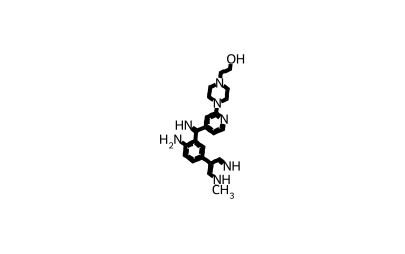 CN/C=C(\C=N)c1ccc(N)c(C(=N)c2ccnc(N3CCN(CCO)CC3)c2)c1